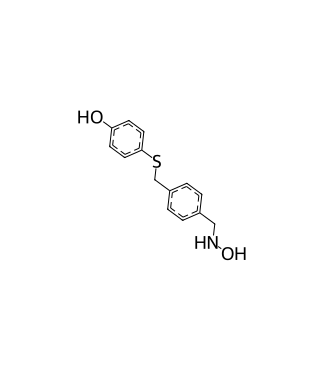 ONCc1ccc(CSc2ccc(O)cc2)cc1